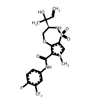 C=CC(C)(O)[C@@H]1COc2c(cn(C)c2C(=O)Nc2ccc(F)c(C(F)(F)F)c2)S(=O)(=O)N1